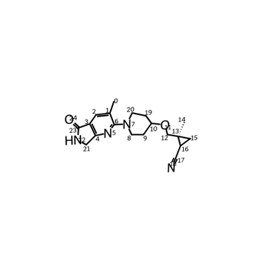 Cc1cc2c(nc1N1CCC(OC[C@@]3(C)CC3C#N)CC1)CNC2=O